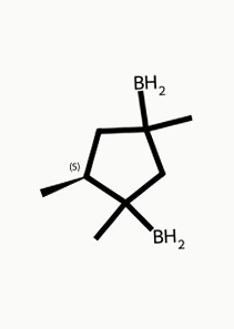 BC1(C)C[C@H](C)C(B)(C)C1